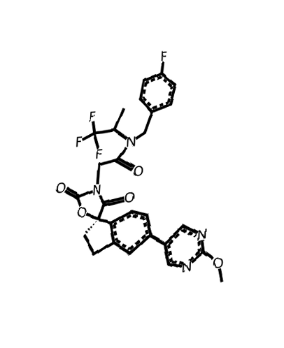 COc1ncc(-c2ccc3c(c2)CC[C@@]32OC(=O)N(CC(=O)N(Cc3ccc(F)cc3)C(C)C(F)(F)F)C2=O)cn1